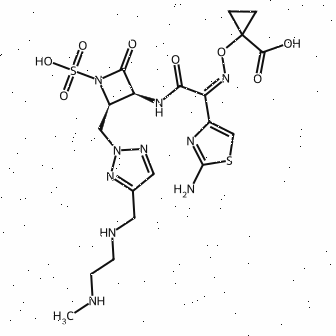 CNCCNCc1cnn(C[C@@H]2[C@H](NC(=O)/C(=N\OC3(C(=O)O)CC3)c3csc(N)n3)C(=O)N2S(=O)(=O)O)n1